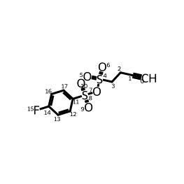 C#CCCS(=O)(=O)OS(=O)(=O)c1ccc(F)cc1